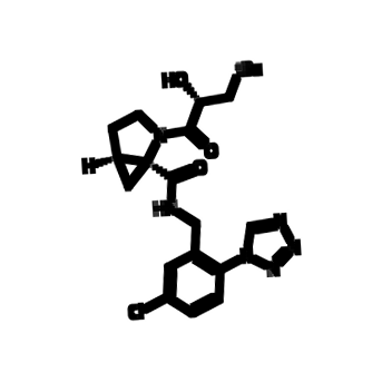 CC(C)(C)C[C@@H](O)C(=O)N1CC[C@@H]2C[C@@]21C(=O)NCc1cc(Cl)ccc1-n1cnnn1